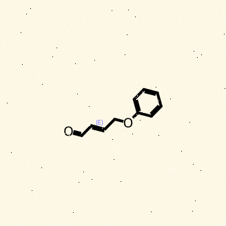 O=C/C=C/COc1ccccc1